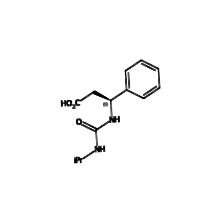 CC(C)NC(=O)N[C@@H](CC(=O)O)c1ccccc1